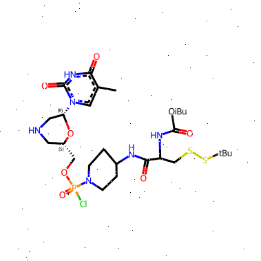 Cc1cn([C@H]2CNC[C@@H](COP(=O)(Cl)N3CCC(NC(=O)C(CSSC(C)(C)C)NC(=O)OCC(C)C)CC3)O2)c(=O)[nH]c1=O